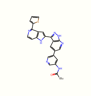 CC(C)(C)C(=O)Nc1cncc(-c2cnc3[nH]nc(-c4cc5c(-c6cccs6)nccc5[nH]4)c3c2)c1